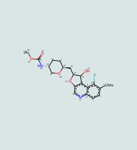 COc1ccc2ncc3c(c2c1F)C(O)C(C[C@@H]1CC[C@@H](NC(=O)OC(C)(C)C)CO1)O3